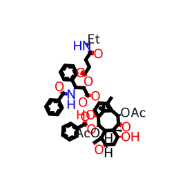 CCNC(=O)CCC(=O)O[C@@H](C(=O)O[C@H]1C[C@@]2(O)[C@@H](OC(=O)c3ccccc3)[C@@H]3[C@]4(OC(C)=O)CO[C@@H]4C[C@H](O)[C@@]3(C)C(=O)[C@H](OC(C)=O)C(=C1C)C2(C)C)[C@@H](NC(=O)c1ccccc1)c1ccccc1